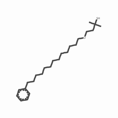 CC(C)(S)CCOCCCCCCCCCCCCCc1ccccc1